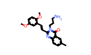 COc1ccc(OC)c(C=Cc2nc3ccc(C)cc3c(=O)n2CCCN)c1